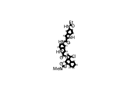 CCC(=O)Nc1ccc2[nH]c(C(=O)Nc3ccc4[nH]c(C(=O)N5CC(Cl)c6c5cc(OC(=O)NC)c5ccccc65)cc4c3)cc2c1